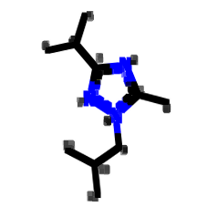 Cc1nc(C(C)C)nn1CC(C)C